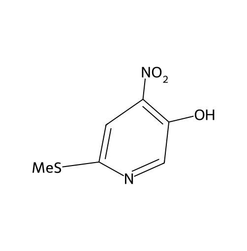 CSc1cc([N+](=O)[O-])c(O)cn1